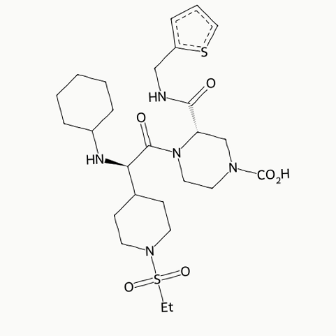 CCS(=O)(=O)N1CCC([C@@H](NC2CCCCC2)C(=O)N2CCN(C(=O)O)C[C@H]2C(=O)NCc2cccs2)CC1